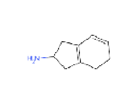 NC1CC2=C(CCC=C2)C1